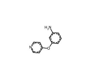 Nc1cccc(Oc2ccncc2)c1